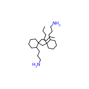 CCCCC1(CC2(CCCC)CCCCC2CCCN)CCCCC1CCCN